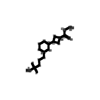 CC(C)(O)CCCN1CCCC(C2CN(C(=O)OC(C)(C)C)C2)C1